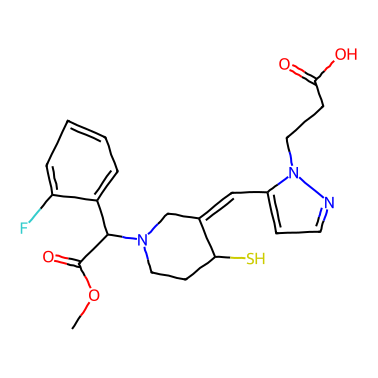 COC(=O)C(c1ccccc1F)N1CCC(S)/C(=C\c2ccnn2CCC(=O)O)C1